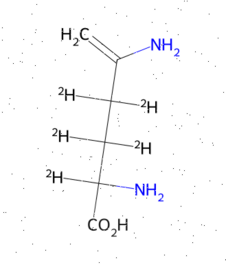 [2H]C([2H])(C(=C)N)C([2H])([2H])C([2H])(N)C(=O)O